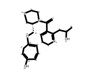 C=C(C1=CCCN=C1CC(C)O)N1CCSC[C@H]1COC1=CC=CC(O)=CC1